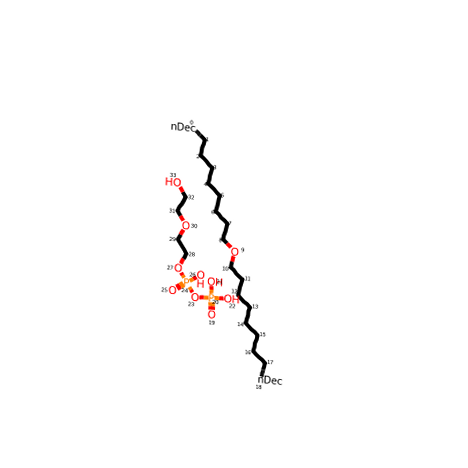 CCCCCCCCCCCCCCCCCCOCCCCCCCCCCCCCCCCCC.O=P(O)(O)OP(=O)(O)OCCOCCO